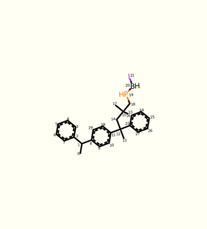 CC(c1ccccc1)c1ccc(C(C)(CC(C)(C)CPBI)c2ccccc2)cc1